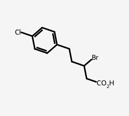 O=C(O)CC(Br)CCc1ccc(Cl)cc1